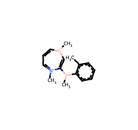 CB1C=CC=[N+](C)C(B(C)c2ccccc2C)=C1